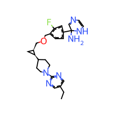 CCc1cnc(N2CCC([C@H]3C[C@H]3COCc3ccc(C4(N)C=NC=CN4)cc3F)CC2)nc1